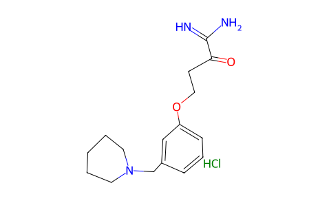 Cl.N=C(N)C(=O)CCOc1cccc(CN2CCCCC2)c1